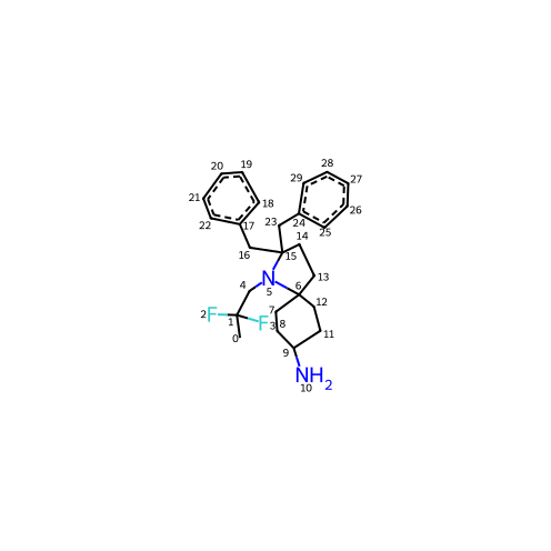 CC(F)(F)CN1C2(CCC(N)CC2)CCC1(Cc1ccccc1)Cc1ccccc1